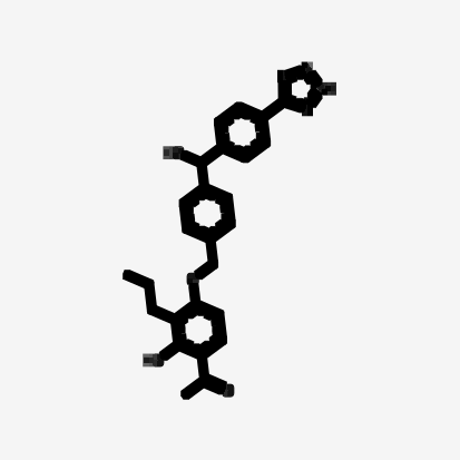 CCCc1c(OCc2ccc(C(O)c3ccc(-c4nn[nH]n4)cc3)cc2)ccc(C(C)=O)c1O